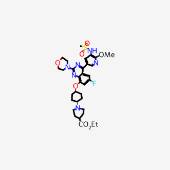 CCOC(=O)C1CCN([C@H]2CC[C@H](Oc3cc(F)cc4c(-c5cnc(OC)c(NS(C)(=O)=O)c5)nc(N5CCOCC5)nc34)CC2)CC1